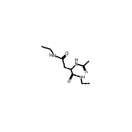 CCNC(=O)CC(NC(C)=O)C(=O)NCC